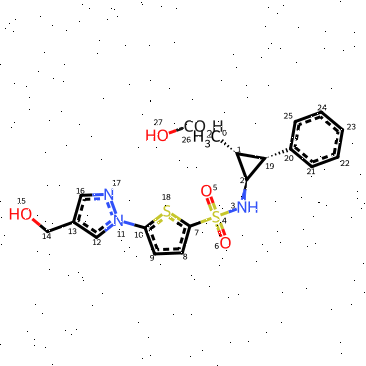 C[C@H]1[C@H](NS(=O)(=O)c2ccc(-n3cc(CO)cn3)s2)[C@H]1c1ccccc1.O=C(O)O